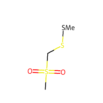 CSSCS(C)(=O)=O